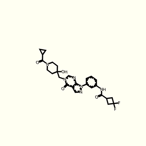 O=C(Nc1cccc(-n2ncc3c(=O)n(CC4(O)CCN(C(=O)C5CC5)CC4)cnc32)c1)C1CC(F)(F)C1